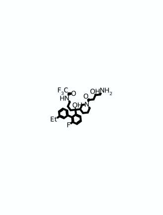 CCc1cccc(-c2c(F)cccc2[C@](O)(CCCNC(=O)C(F)(F)F)C2CCCN(C(=O)C[C@@H](O)CN)C2)c1